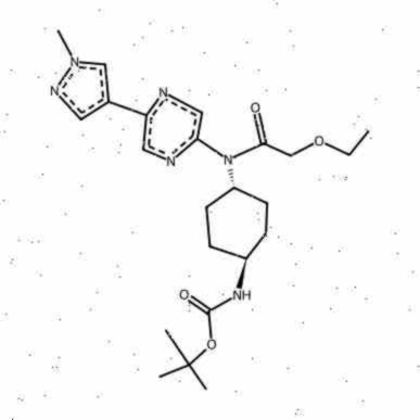 CCOCC(=O)N(c1cnc(-c2cnn(C)c2)cn1)[C@H]1CC[C@H](NC(=O)OC(C)(C)C)CC1